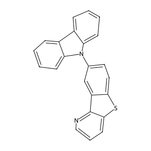 c1cnc2c(c1)sc1ccc(-n3c4ccccc4c4ccccc43)cc12